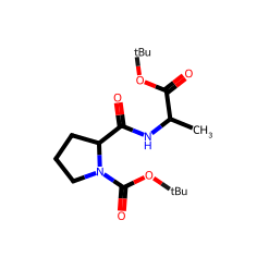 CC(NC(=O)C1CCCN1C(=O)OC(C)(C)C)C(=O)OC(C)(C)C